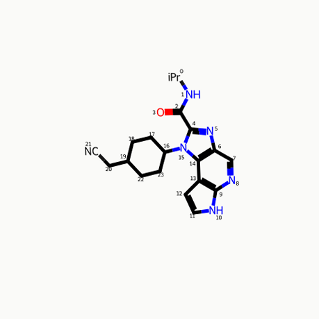 CC(C)NC(=O)c1nc2cnc3[nH]ccc3c2n1C1CCC(CC#N)CC1